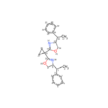 CC(c1ccccc1)C1COC(C2(C3=NC(C(C)c4ccccc4)CO3)CC2)=N1